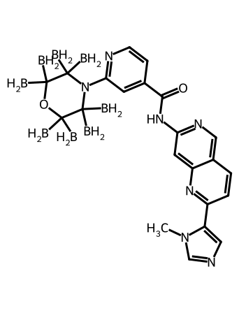 BC1(B)OC(B)(B)C(B)(B)N(c2cc(C(=O)Nc3cc4nc(-c5cncn5C)ccc4cn3)ccn2)C1(B)B